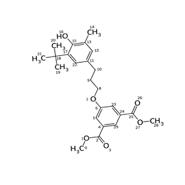 COC(=O)c1cc(OCCCc2cc(C)c(O)c(C(C)(C)C)c2)cc(C(=O)OC)c1